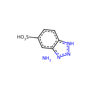 N.O=S(=O)(O)c1ccc2[nH]nnc2c1